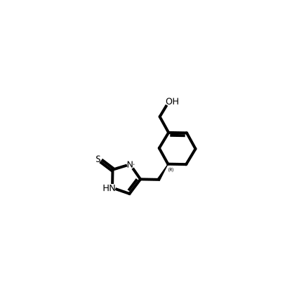 OCC1=CCC[C@@H](CC2=CNC(=S)[N]2)C1